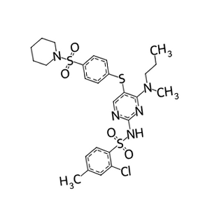 CCCN(C)c1nc(NS(=O)(=O)c2ccc(C)cc2Cl)ncc1Sc1ccc(S(=O)(=O)N2CCCCC2)cc1